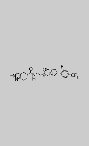 Cn1cc2c(n1)CCC(C(=O)NCC[C@@H](O)CN1CCC(c3ccc(C(F)(F)F)cc3F)C1)C2